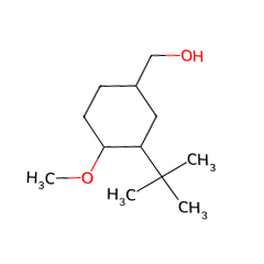 COC1CCC(CO)CC1C(C)(C)C